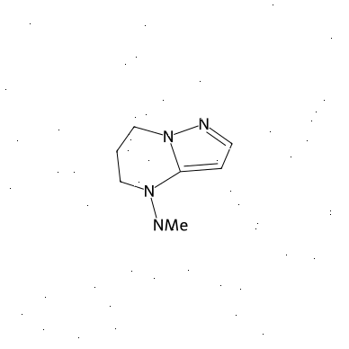 CNN1CCCn2nccc21